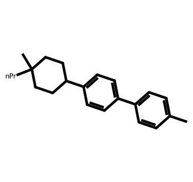 CCCC1(C)CCC(c2ccc(-c3ccc(C)cc3)cc2)CC1